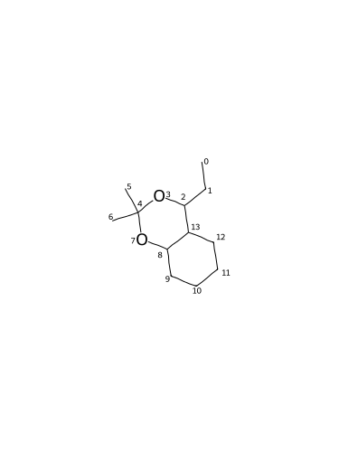 CCC1OC(C)(C)OC2CCCCC12